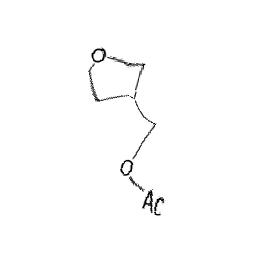 CC(=O)OCC1COC1